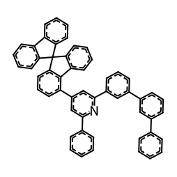 c1ccc(-c2cccc(-c3cccc(-c4cc(-c5cccc6c5-c5ccccc5C65c6ccccc6-c6ccccc65)cc(-c5ccccc5)n4)c3)c2)cc1